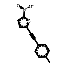 Cc1ccc(C#Cc2ccc([N+](=O)[O-])s2)cc1